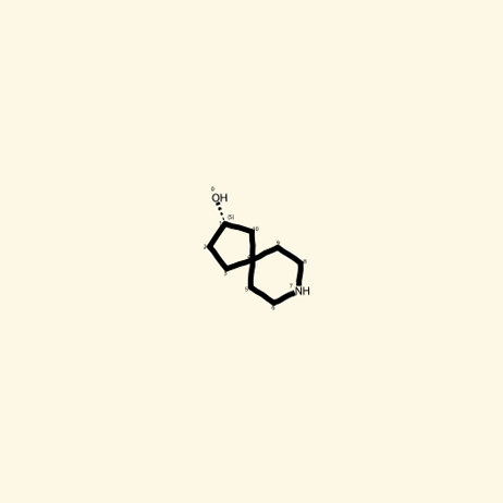 O[C@H]1CCC2(CCNCC2)C1